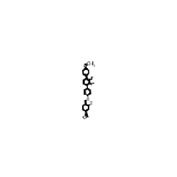 COC1CCC(c2ccc(-c3ccc(OCc4ccc(C5CO5)cc4F)cc3)c(F)c2F)CC1